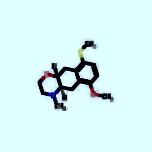 COc1ccc(SC)c2c1C[C@@H]1[C@@H](C2)OCCN1C